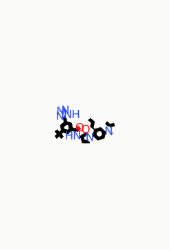 CCC[C@H]1C[C@H](N(C)C(C)C)CC[C@@H]1N1CC[C@H](NC(=O)c2cc(-c3nnn[nH]3)cc(C(C)(C)C)c2)C1=O